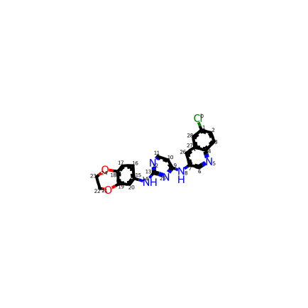 Clc1ccc2ncc(Nc3ccnc(Nc4ccc5c(c4)OCCO5)n3)cc2c1